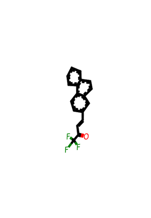 O=C(/C=C/c1ccc2c(ccc3ccccc32)c1)C(F)(F)F